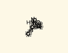 O=C(ON1c2cccnc2NC1c1ccc(OCc2ccccc2)cc1OCC1CC1)C(F)(F)F